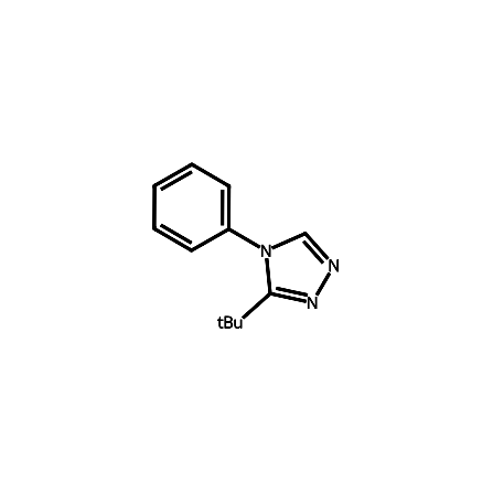 CC(C)(C)c1nncn1-c1ccccc1